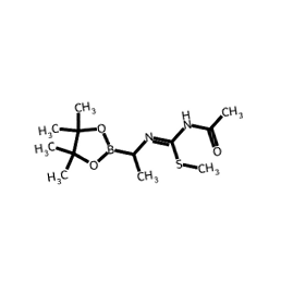 CS/C(=N\C(C)B1OC(C)(C)C(C)(C)O1)NC(C)=O